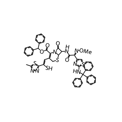 CON=C(C(=O)NC1C(=O)N2C(C(=O)OC(c3ccccc3)c3ccccc3)=C(C=C(S)c3nnc(C)s3)CSC12)c1csc(NC(c2ccccc2)(c2ccccc2)c2ccccc2)n1